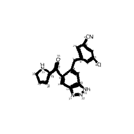 N#Cc1cc(Cl)cc(Cc2cc3[nH]nnc3cc2C(=O)C2CCCN2)c1